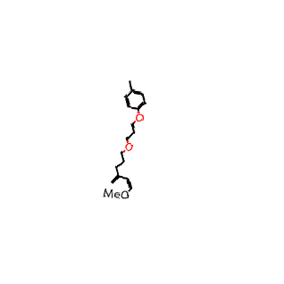 C=C(/C=C\OC)CCCOCCCOc1ccc(C)cc1